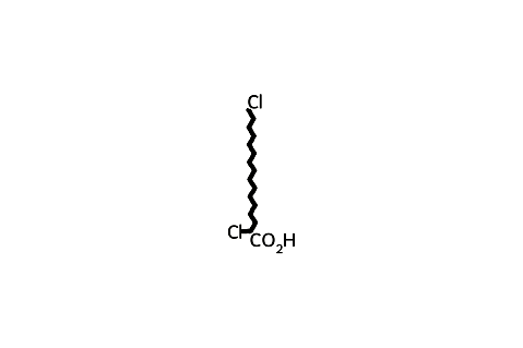 O=C(O)C(Cl)CCCCCCCCCCCCCCCl